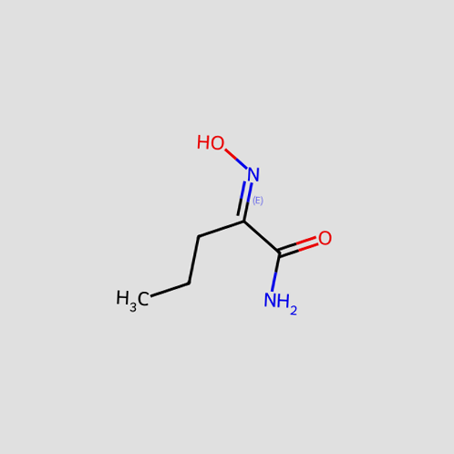 CCC/C(=N\O)C(N)=O